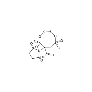 O=C1CCC(=O)N1C1(C(=O)O)CS(=O)(=O)OSSOS1(=O)=O